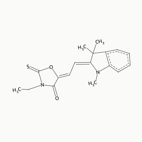 CCN1C(=O)C(=CC=C2N(C)c3ccccc3C2(C)C)OC1=S